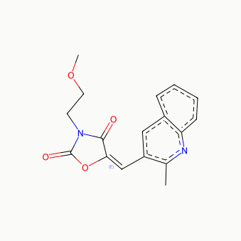 COCCN1C(=O)O/C(=C/c2cc3ccccc3nc2C)C1=O